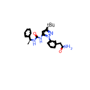 C[C@H](NC(=O)Nc1cc(C(C)(C)C)nn1-c1cccc(CC(N)=O)c1)c1ccccc1